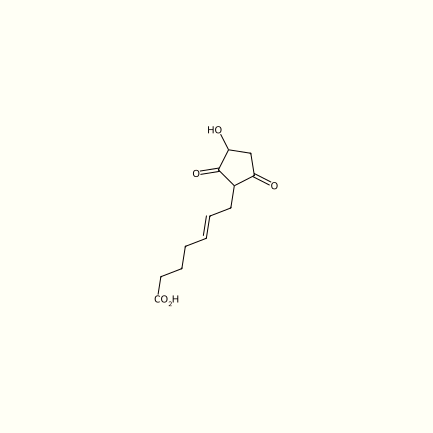 O=C(O)CCCC=CCC1C(=O)CC(O)C1=O